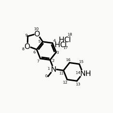 CN(c1ccc2c(c1)OCO2)C1CCNCC1.Cl.Cl